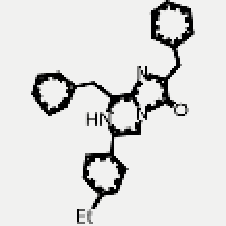 CCc1ccc(-c2cn3c(=O)c(Cc4ccccc4)nc-3c(Cc3ccccc3)[nH]2)cc1